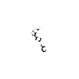 Cn1nnc(-c2cnc(NCc3ccc(Cl)nc3)cn2)c1OC(N)=O